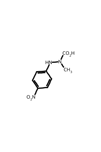 CN(Nc1ccc([N+](=O)[O-])cc1)C(=O)O